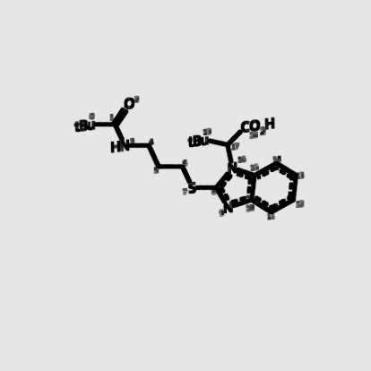 CC(C)(C)C(=O)NCCCSc1nc2ccccc2n1C(C(=O)O)C(C)(C)C